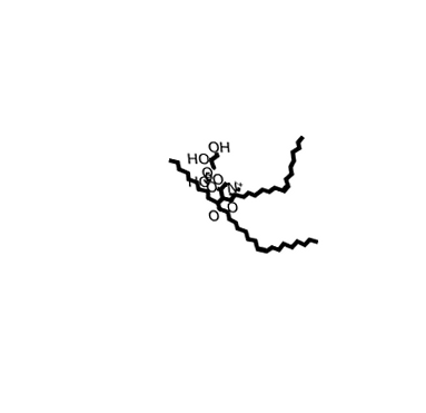 CCCCCCCC/C=C\CCCCCCCC(=O)C(CCCCCCCCC)C(C(=O)CCCCCCC/C=C\CCCCCCCC)C(C[N+](C)(C)C)OP(=O)(O)OCC(O)CO